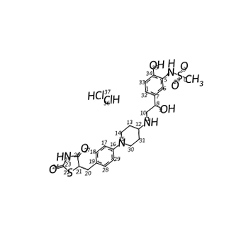 CS(=O)(=O)Nc1cc(C(O)CNC2CCN(c3ccc(CC4SC(=O)NC4=O)cc3)CC2)ccc1O.Cl.Cl